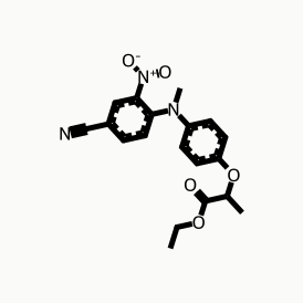 CCOC(=O)C(C)Oc1ccc(N(C)c2ccc(C#N)cc2[N+](=O)[O-])cc1